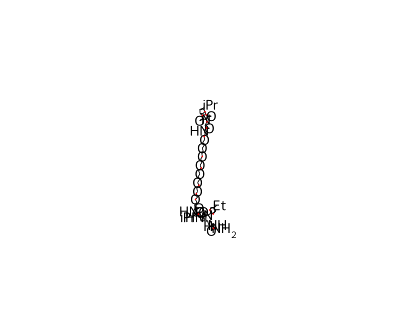 CCc1ccc(NC(=O)[C@H](CCCNC(N)=O)NC(=O)[C@@H](NC(=O)CCOCCOCCOCCOCCOCCOCCOCCOCCNC(=O)CCN2C(=O)C3C4C=C(C(C)C)C(C4)C3C2=O)C(C)C)cc1